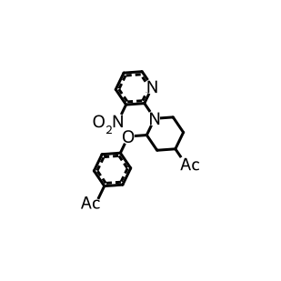 CC(=O)c1ccc(OC2CC(C(C)=O)CCN2c2ncccc2[N+](=O)[O-])cc1